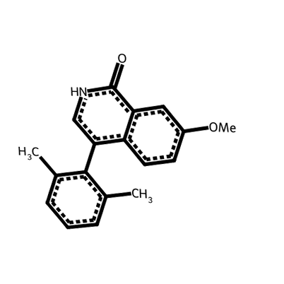 COc1ccc2c(-c3c(C)cccc3C)c[nH]c(=O)c2c1